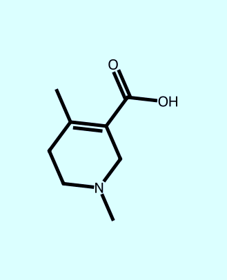 CC1=C(C(=O)O)CN(C)CC1